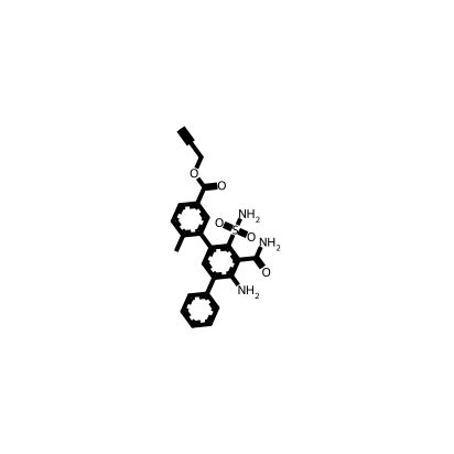 C#CCOC(=O)c1ccc(C)c(-c2cc(-c3ccccc3)c(N)c(C(N)=O)c2S(N)(=O)=O)c1